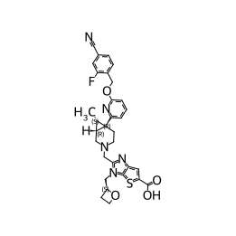 C[C@H]1[C@H]2CN(Cc3nc4cc(C(=O)O)sc4n3C[C@@H]3CCO3)CC[C@]21c1cccc(OCc2ccc(C#N)cc2F)n1